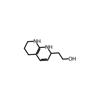 OCCC1C=CC2=C(NCCC2)N1